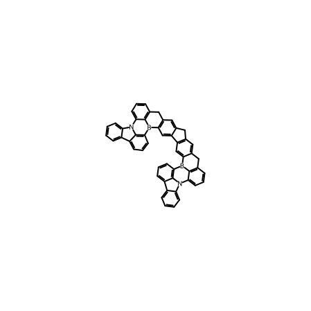 c1cc2c3c(c1)-n1c4ccccc4c4cccc(c41)B3c1cc3c(cc1C2)Cc1cc2c(cc1-3)B1c3c(cccc3-n3c4ccccc4c4cccc1c43)C2